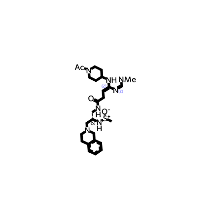 CN/C=N\C(=C/CC(=O)NC[C@@H](CN1CCc2ccccc2C1)N[S+](C)[O-])NC1CCN(C(C)=O)CC1